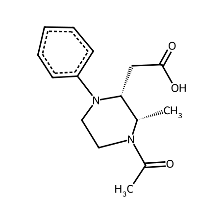 CC(=O)N1CCN(c2ccccc2)[C@H](CC(=O)O)[C@@H]1C